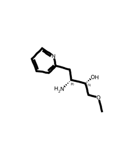 COC[C@@H](O)[C@H](N)Cc1ccccn1